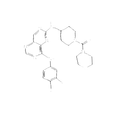 O=C(N1CCOCC1)N1CCC(Nc2ncc3ncnc(Nc4ccc(F)c(Cl)c4)c3n2)CC1